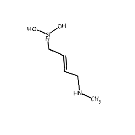 CNCC=CC[SiH](O)O